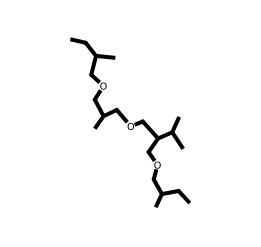 CCC(C)COCC(C)COCC(COCC(C)CC)C(C)C